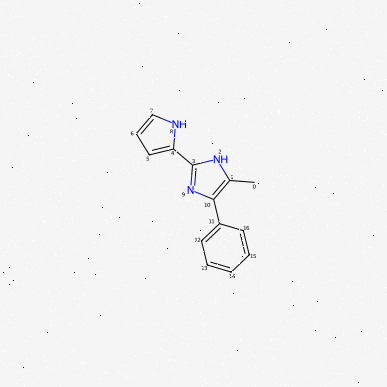 Cc1[nH]c(-c2ccc[nH]2)nc1-c1ccccc1